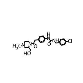 CN1CCN(C(=O)Cc2ccc(NC(=O)NCc3ccc(Cl)cc3)cc2)C(CO)C1